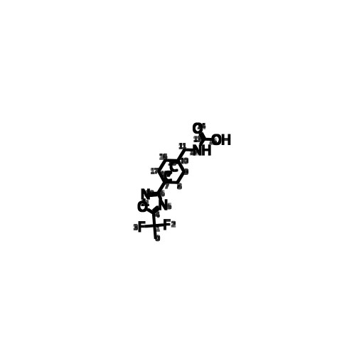 CC(F)(F)c1nc(C23CCC(CNC(=O)O)(CC2)CC3)no1